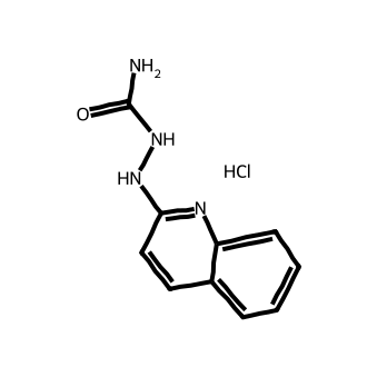 Cl.NC(=O)NNc1ccc2ccccc2n1